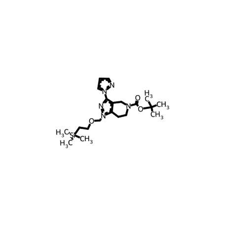 CC(C)(C)OC(=O)N1CCc2c(c(-n3cccn3)nn2COCC[Si](C)(C)C)C1